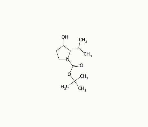 CC(C)[C@H]1[C@@H](O)CCN1C(=O)OC(C)(C)C